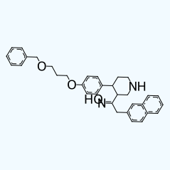 O/N=C(/Cc1ccc2ccccc2c1)C1CNCCC1c1ccc(OCCCOCc2ccccc2)cc1